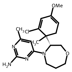 COC1=CCC(C)([C@@H]2COCCCN2c2cc(C)nc(N)n2)C(Cl)=C1